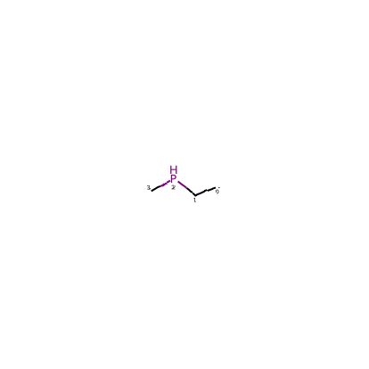 [CH2]CPC